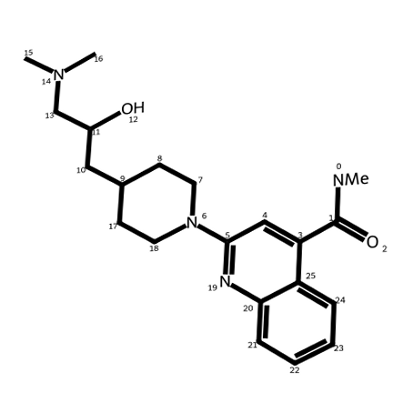 CNC(=O)c1cc(N2CCC(CC(O)CN(C)C)CC2)nc2ccccc12